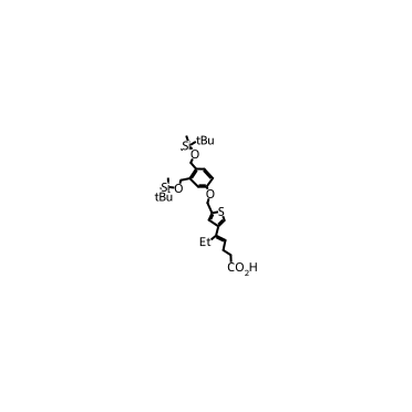 CCC(=CCCC(=O)O)c1csc(COc2ccc(CO[Si](C)(C)C(C)(C)C)c(CO[Si](C)(C)C(C)(C)C)c2)c1